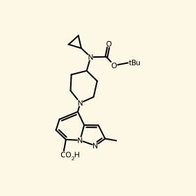 Cc1cc2c(N3CCC(N(C(=O)OC(C)(C)C)C4CC4)CC3)ccc(C(=O)O)n2n1